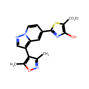 CCOC(=O)c1sc(-c2ccn3ncc(-c4c(C)noc4C)c3c2)nc1O